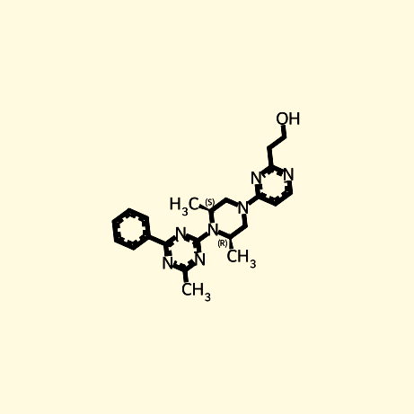 Cc1nc(-c2ccccc2)nc(N2[C@H](C)CN(c3ccnc(CCO)n3)C[C@@H]2C)n1